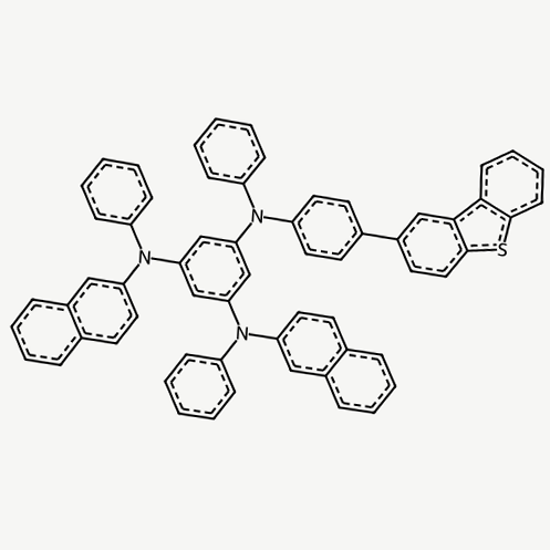 c1ccc(N(c2ccc(-c3ccc4sc5ccccc5c4c3)cc2)c2cc(N(c3ccccc3)c3ccc4ccccc4c3)cc(N(c3ccccc3)c3ccc4ccccc4c3)c2)cc1